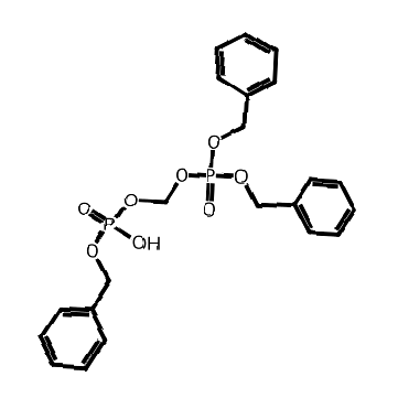 O=P(O)(OCOP(=O)(OCc1ccccc1)OCc1ccccc1)OCc1ccccc1